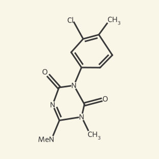 CNc1nc(=O)n(-c2ccc(C)c(Cl)c2)c(=O)n1C